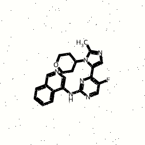 Cc1ncc(-c2nc(Nc3cncc4ccccc34)ncc2F)n1C1CCOCC1